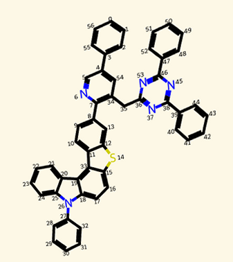 c1ccc(-c2cnc(-c3ccc4c(c3)sc3ccc5c(c6ccccc6n5-c5ccccc5)c34)c(Cc3nc(-c4ccccc4)nc(-c4ccccc4)n3)c2)cc1